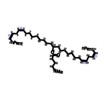 CCCCC/C=C\C/C=C\CCCCCCCCC(CCCCCCC/C=C\C/C=C\CCCCC)OC(=O)CCCNC